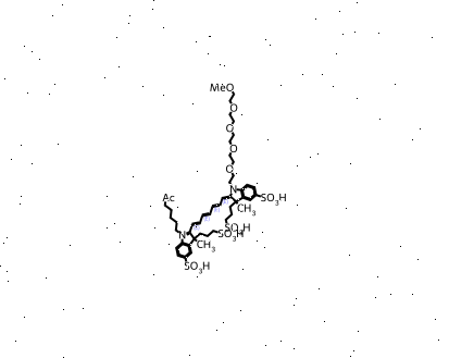 COCCOCCOCCOCCOCCN1/C(=C/C=C/C=C/C=C/C2=[N+](CCCCCC(C)=O)c3ccc(S(=O)(=O)O)cc3C2(C)CCCS(=O)(=O)O)C(C)(CCCS(=O)(=O)O)c2cc(S(=O)(=O)O)ccc21